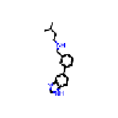 CC(C)CCNCc1cccc(-c2ccc3[nH]cnc3c2)c1